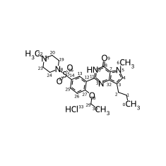 CCCc1cn(C)c2c(=O)[nH]c(-c3cc(S(=O)(=O)N4CCN(C)CC4)ccc3OCC)nc12.Cl